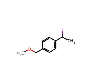 COCc1ccc(C(C)I)cc1